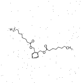 CCCCCCCC(=O)OCc1ccccc1COC(=O)CCCCCCC